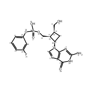 Nc1nc2c(ncn2[C@@H]2C[C@H](CO)[C@@H]2COP(=O)(O)Oc2cccc(F)c2)c(=O)[nH]1